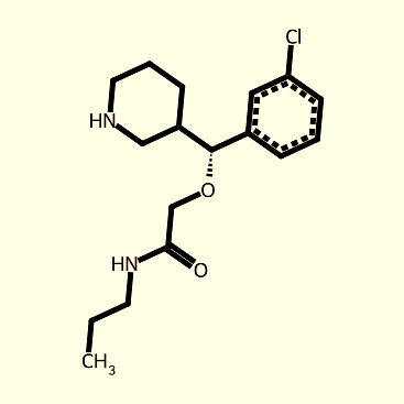 CCCNC(=O)CO[C@@H](c1cccc(Cl)c1)C1CCCNC1